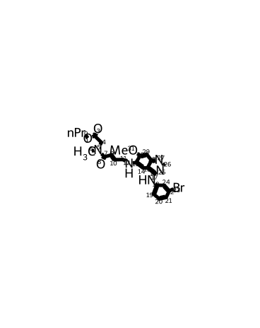 CCCOC(=O)CN(C)C(=O)C=CCNc1cc2c(Nc3cccc(Br)c3)ncnc2cc1OC